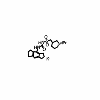 CC(C)N1CCCC(CS(=O)(=O)NC(=O)Nc2c3c(cc4c2CCC4)CCC3)C1.[K]